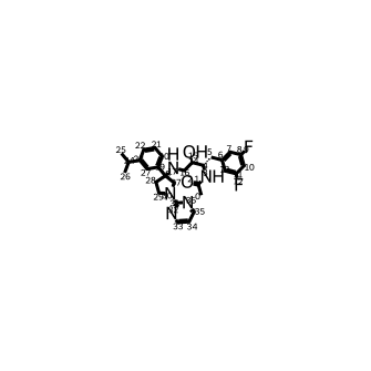 CC(=O)N[C@@H](Cc1cc(F)cc(F)c1)[C@H](O)CNC1(c2cccc(C(C)C)c2)CCN(c2ncccn2)C1